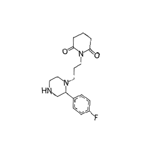 O=C1CCCC(=O)N1CCCN1CCNCC1c1ccc(F)cc1